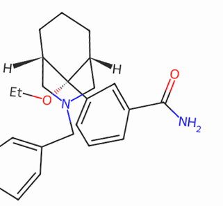 CCO[C@@]1(c2cccc(C(N)=O)c2)[C@@H]2CCC[C@H]1CN(Cc1ccccc1)C2